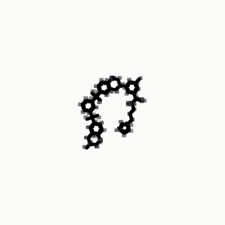 Cc1cc(C(=O)NCCCn2ccnc2)cc(N2COc3ccc(C(C)(C)c4cccc(C(C)(C)c5ccc6c(c5)CN(C)CO6)c4)cc3C2)c1